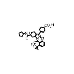 O=C(O)C1CC=C(c2nn(C(=O)c3c(Cl)cccc3C3(C(F)(F)F)CC3)c3c2CCC(C(=O)NC2CCCC2)C3)CC1